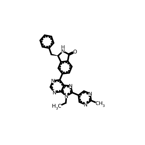 CCn1c(-c2cnc(C)nc2)nc2c(-c3ccc4c(c3)[C@@H](Cc3ccccc3)NC4=O)ncnc21